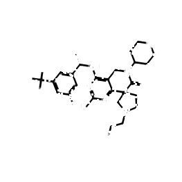 Cc1nc(N[C@H](C)c2cc(N)cc(C(F)(F)F)c2)c2c(n1)C1(CCN(CCO)C1)C(=O)N(C1CCOCC1)C2